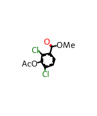 COC(=O)c1ccc(Cl)c(OC(C)=O)c1Cl